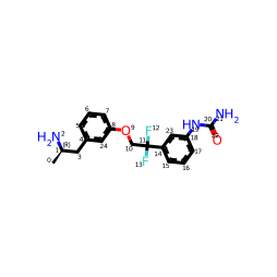 C[C@@H](N)Cc1cccc(OCC(F)(F)c2cccc(NC(N)=O)c2)c1